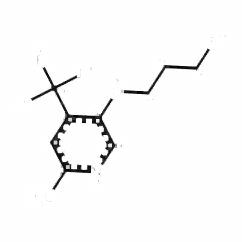 Cc1cc(C(F)(F)F)c(OCCCF)cn1